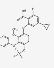 COc1c(Oc2cc(C3CC3)cc(F)c2C(=O)O)ccc(OC(F)(F)F)c1Oc1ccccc1